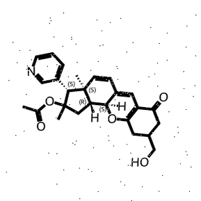 CC(=O)OC1(C)C[C@H]2[C@@H]3OC4=C(C=C3C=C[C@]2(C)[C@H]1c1cccnc1)C(=O)CC(CO)C4